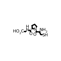 N[C@@H](CS)C(=O)N1CCC[C@H]1C(=O)NCC(=O)O